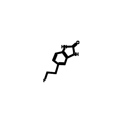 O=c1[nH]c2ccc(CCF)cc2[nH]1